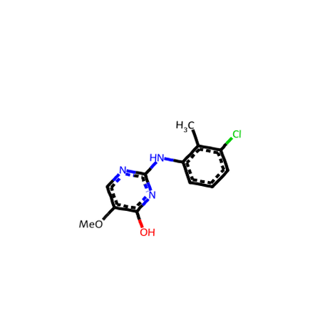 COc1cnc(Nc2cccc(Cl)c2C)nc1O